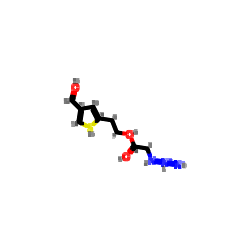 [N-]=[N+]=NCC(=O)OCCc1cc(C=O)cs1